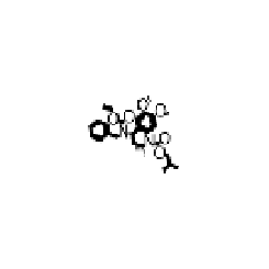 CCOC(=O)N(Cc1ccccc1)[C@H]1C[C@@H](C)N(C(=O)OCC(C)C)c2cc(OC)c(OC)cc21